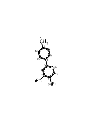 Cc1ccc(-c2cc(C(C)C)c(C(C)C)cn2)cc1